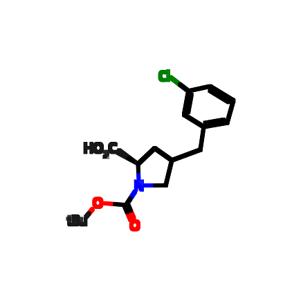 CC(C)(C)OC(=O)N1CC(Cc2cccc(Cl)c2)C[C@@H]1C(=O)O